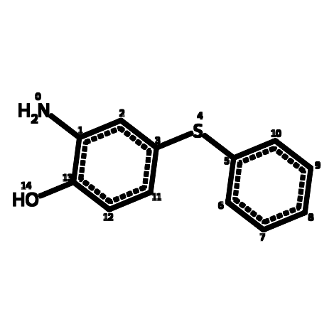 Nc1cc(Sc2ccccc2)ccc1O